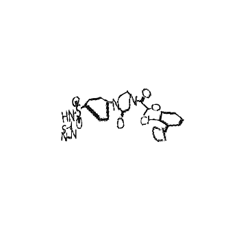 CC(Oc1cccc(Cl)c1Cl)C(=O)N1CCN(c2ccc(S(=O)(=O)Nc3ncns3)cc2)C(=O)C1